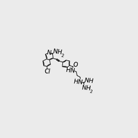 N=C(N)NCCCNC(=O)c1ccc(C#Cc2c(N)ncc3ccc(Cl)cc23)cc1